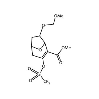 COCOC1CC2CC(OS(=O)(=O)C(F)(F)F)=C(C(=O)OC)C1O2